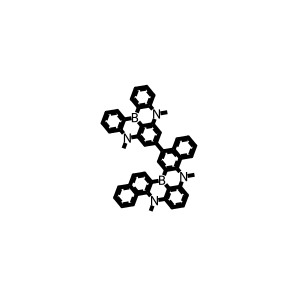 CN1c2ccccc2B2c3ccccc3N(C)c3cc(-c4cc5c(c6ccccc46)N(C)c4cccc6c4B5c4ccc5ccccc5c4N6C)cc1c32